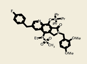 CCN(c1c2c(c(O[Si](C(C)C)(C(C)C)C(C)C)c3ncc(Cc4ccc(F)cc4)cc13)C(=O)N(Cc1ccc(OC)cc1OC)C2)S(C)(=O)=O